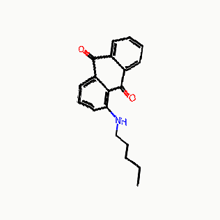 CCCCCNc1cccc2c1C(=O)c1ccccc1C2=O